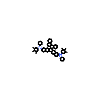 Cc1cc(N(c2ccccc2)c2ccc3cc4c(cc3c2)C2(c3cc5cc(N(c6ccccc6)c6cc(C)c(C)c(C)c6)ccc5cc3-4)c3ccccc3-c3c2ccc2ccccc32)cc(C)c1C